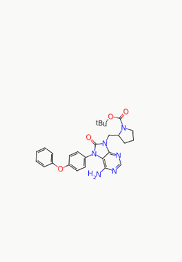 CC(C)(C)OC(=O)N1CCCC1Cn1c(=O)n(-c2ccc(Oc3ccccc3)cc2)c2c(N)ncnc21